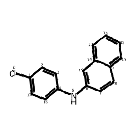 Clc1ccc(Nc2ccc3ccccc3c2)cc1